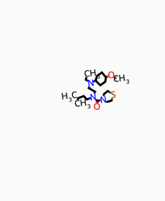 CCN(CCN(CCC(C)C)C(=O)N1CCSCC1)C1CCC(OC)CC1